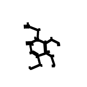 CCC1=CNN(CO)C(CC)=C1CC